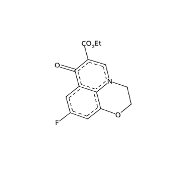 CCOC(=O)c1cn2c3c(cc(F)cc3c1=O)OCC2